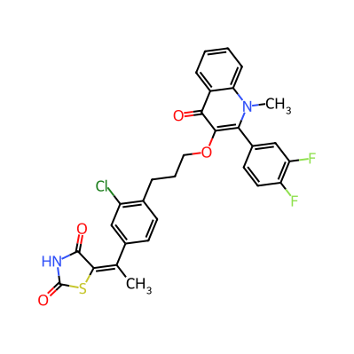 C/C(=C1\SC(=O)NC1=O)c1ccc(CCCOc2c(-c3ccc(F)c(F)c3)n(C)c3ccccc3c2=O)c(Cl)c1